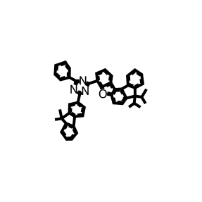 CC(C)C1(C(C)C)c2ccccc2-c2c1ccc1oc3c(-c4nc(-c5ccccc5)nc(-c5ccc6c(c5)C(C)(C)c5ccccc5-6)n4)cccc3c21